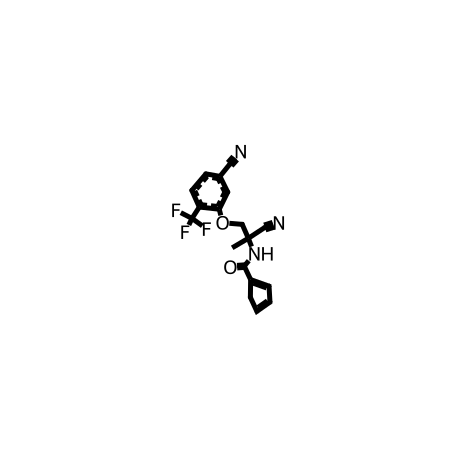 CC(C#N)(COc1cc(C#N)ccc1C(F)(F)F)NC(=O)C1=CC=CC1